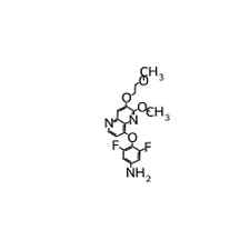 COCCOc1cc2nccc(Oc3c(F)cc(N)cc3F)c2nc1OC